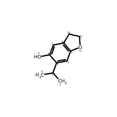 CC(C)c1cc2c(cc1O)CCO2